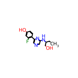 CCC(CO)Nc1cncc(-c2ccc(O)cc2F)n1